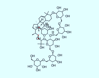 C[C@H](CC[C@@H](O[C@@H]1O[C@H](CO[C@@H]2O[C@H](CO[C@@H]3O[C@H](CO)[C@@H](O)[C@H](O)[C@H]3O)[C@@H](O)[C@H](O)[C@H]2O)[C@@H](O)[C@H](O)[C@H]1O[C@@H]1O[C@H](CO)[C@@H](O)[C@H](O)[C@H]1O)C(C)(C)O)[C@H]1CC[C@@]2(C)[C@@H]3CC=C4[C@@H](CC[C@H](O[C@@H]5O[C@H](CO[C@@H]6O[C@H](CO)[C@@H](O)[C@H](O)[C@H]6O)[C@@H](O)[C@H](O)[C@H]5O)C4(C)C)[C@]3(C)[C@H](O)C[C@]12C